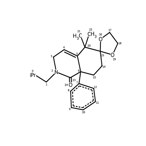 CC(C)CN1CC=C2C(c3ccccc3)(CCC3(OCCO3)C2(C)C)C1=O